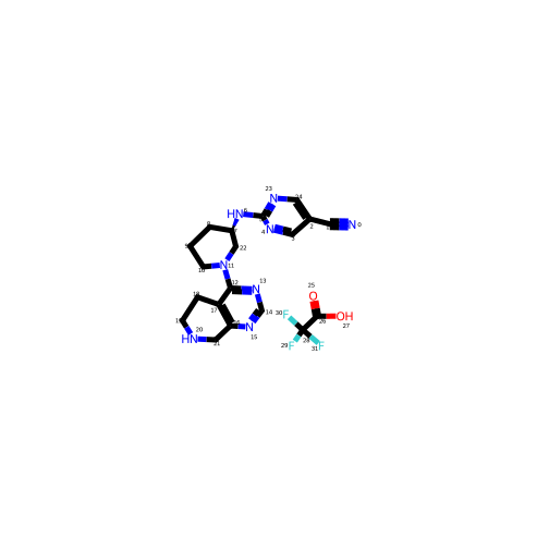 N#Cc1cnc(N[C@@H]2CCCN(c3ncnc4c3CCNC4)C2)nc1.O=C(O)C(F)(F)F